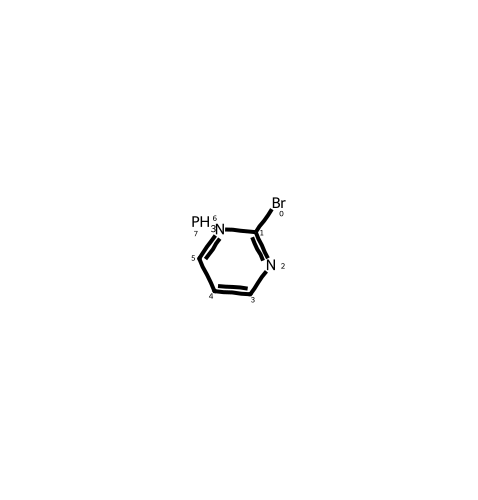 Brc1ncccn1.P